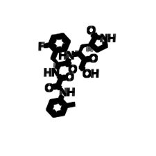 Cc1ccccc1NC(=O)C(=O)N[C@@H](Cc1ccccc1F)C(=O)N[C@@H](C[C@@H]1CCNC1=O)C(=O)CO